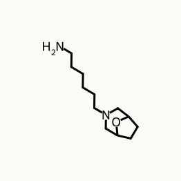 NCCCCCCN1CC2CCC(C1)O2